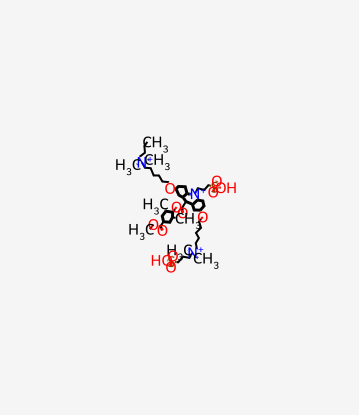 CCCC[N+](C)(C)CCCCCCOc1ccc2c(c1)c(C(=O)Oc1c(C)cc(C(=O)OC)cc1C)c1cc(OCCCCCC[N+](C)(C)CCCS(=O)(=O)O)ccc1[n+]2CCCS(=O)(=O)O